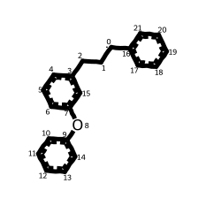 [CH](CCc1cccc(Oc2ccccc2)c1)c1ccccc1